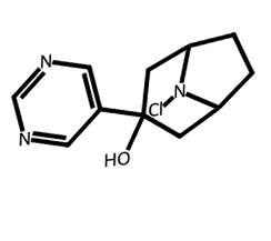 OC1(c2cncnc2)CC2CCC(C1)N2Cl